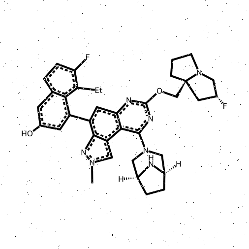 CCc1c(F)ccc2cc(O)cc(-c3cc4nc(OC[C@@]56CCCN5C[C@H](F)C6)nc(N5C[C@H]6CC[C@@H](C5)N6)c4c4cn(C)nc34)c12